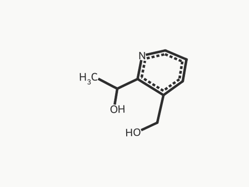 CC(O)c1ncccc1CO